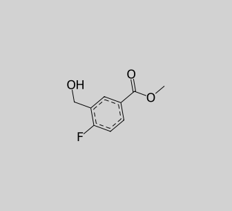 COC(=O)c1ccc(F)c(CO)c1